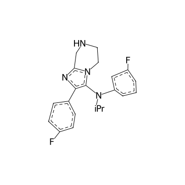 CC(C)N(c1cccc(F)c1)c1c(-c2ccc(F)cc2)nc2n1CCNC2